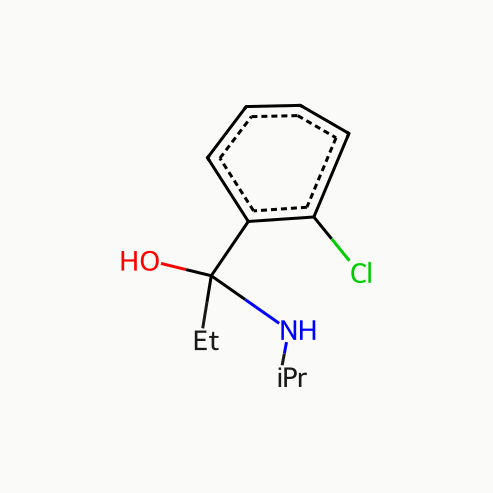 CCC(O)(NC(C)C)c1ccccc1Cl